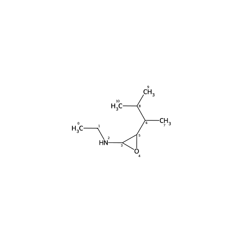 CCNC1OC1C(C)C(C)C